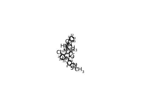 CC1=C(C(=O)Nc2ccc3sc(C)nc3c2)C(c2ccccc2Cl)N=C(Nc2nc3ccccc3o2)N1